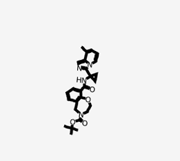 Cc1cccn2c(C3(NC(=O)c4cccc5c4OCCN(C(=O)OC(C)(C)C)C5)CC3)ncc12